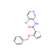 O=C(Nc1cnccc1Cl)c1sccc1OCc1ccccc1